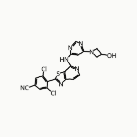 N#Cc1cc(Cl)c(-c2nc3ccnc(Nc4cc(N5CC(O)C5)ncn4)c3s2)c(Cl)c1